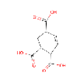 O=C(O)C1C=CC(C(=O)O)C(C(=O)O)C1